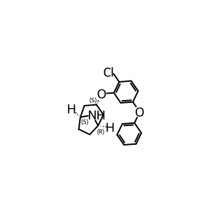 Clc1ccc(Oc2ccccc2)cc1O[C@@H]1C[C@H]2CC[C@@H](C1)N2